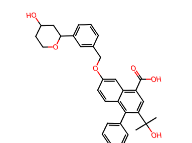 CC(C)(O)c1cc(C(=O)O)c2cc(OCc3cccc(C4CC(O)CCO4)c3)ccc2c1-c1ccccc1